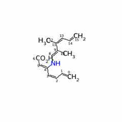 C=C/C=C\C(=C\C(=O)O)N/C=C(C)/C(C)=C\C=C